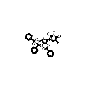 O=C(OC[C@@]1(F)O[C@@H](n2cc(F)c(=O)[nH]c2=O)[C@H](OC(=O)c2ccccc2)[C@@H]1OC(=O)c1ccccc1)c1ccccc1